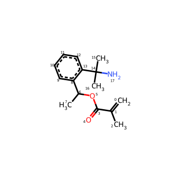 C=C(C)C(=O)OC(C)c1ccccc1C(C)(C)N